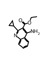 CCOC(=O)c1c(C2CC2)nc2ccccc2c1N